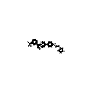 C[C@H](O)c1cccc(-c2cnn3cc(-c4ccc(OCCN5CCCC5)cc4)cnc23)c1